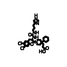 O=C(O)CCC1(C2CCCCC2)CCN(C(=O)[C@@H](Cc2ccc(Cl)c(Cl)c2)NC(=O)NCCCc2c[nH]cn2)CC1